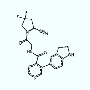 N#CC1CC(F)(F)CN1C(=O)CNC(=O)c1ccncc1-c1ccc2c(c1)CCN2